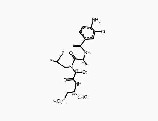 C=C(N[C@@H](C)C(=O)N(CC(F)F)[C@@H](CC)C(=O)N[C@H](C=O)CC(=O)O)c1ccc(N)c(Cl)c1